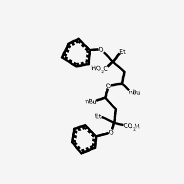 CCCCC(CC(CC)(Oc1ccccc1)C(=O)O)OC(CCCC)CC(CC)(Oc1ccccc1)C(=O)O